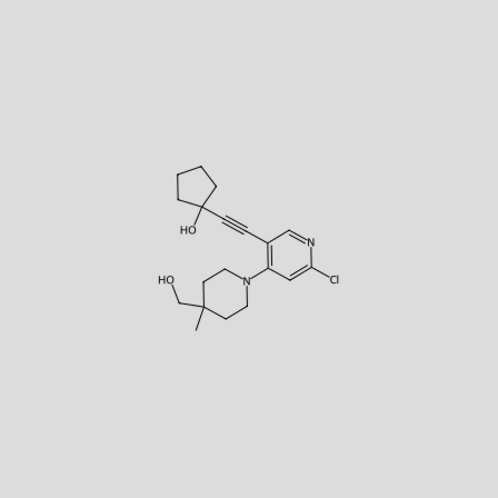 CC1(CO)CCN(c2cc(Cl)ncc2C#CC2(O)CCCC2)CC1